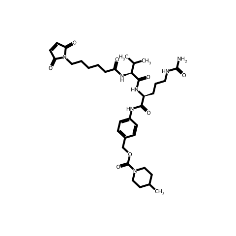 CC1CCN(C(=O)OCc2ccc(NC(=O)[C@H](CCCNC(N)=O)NC(=O)[C@@H](NC(=O)CCCCCN3C(=O)C=CC3=O)C(C)C)cc2)CC1